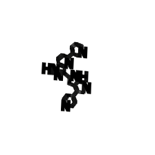 c1cncc(-c2ccc3[nH]nc(-c4cc5c(-c6ccncc6)cncc5[nH]4)c3n2)c1